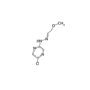 COCC=NNc1cnc(Cl)cn1